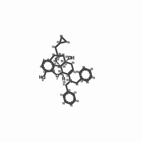 Oc1ccc2c3c1O[C@@H]1C(N(Cc4ccccc4)Cc4ccccc4)=CC[C@]4(O)C(C2)N(CC2CC2)CC[C@@]314